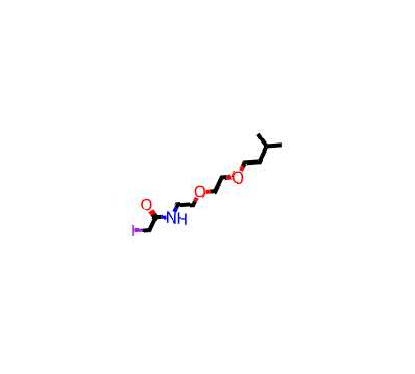 CC(C)CCOCCOCCNC(=O)CI